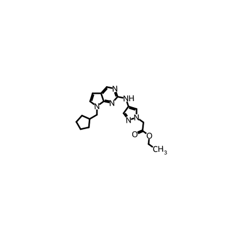 CCOC(=O)Cn1cc(Nc2ncc3ccn(CC4CCCC4)c3n2)cn1